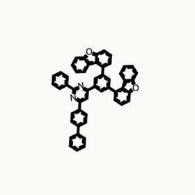 c1ccc(-c2ccc(-c3cc(-c4cc(-c5cccc6oc7ccccc7c56)cc(-c5cccc6oc7ccccc7c56)c4)nc(-c4ccccc4)n3)cc2)cc1